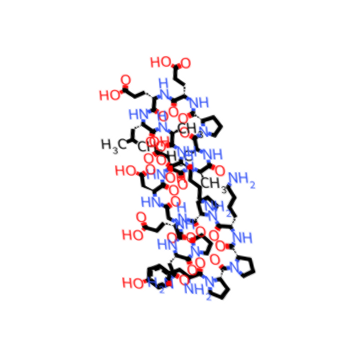 CC(C)C[C@H](NC(=O)[C@H](CCC(=O)O)NC(=O)[C@H](CCC(=O)O)NC(=O)[C@@H]1CCCN1C(=O)[C@H](C)NC(=O)[C@H](C)NC(=O)[C@H](CC(=O)O)NC(=O)[C@H](CC(=O)O)NC(=O)CNC(=O)[C@@H]1CCCN1C(=O)[C@H](CC(N)=O)NC(=O)[C@H](CCC(=O)O)NC(=O)[C@@H]1CCCN1C(=O)[C@H](CCCCN)NC(=O)[C@@H]1CCCN1C(=O)[C@@H]1CCCN1C(=O)[C@@H](N)Cc1ccc(O)cc1)C(=O)N[C@@H](C)C(=O)N[C@@H](CCCCN)C(=O)O